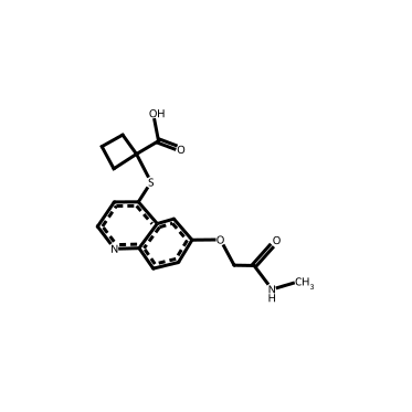 CNC(=O)COc1ccc2nccc(SC3(C(=O)O)CCC3)c2c1